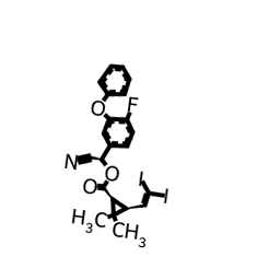 CC1(C)[C@H](C=C(I)I)[C@@H]1C(=O)O[C@@H](C#N)c1ccc(F)c(Oc2ccccc2)c1